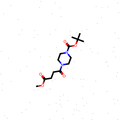 COC(=O)CCC(=O)N1CCN(C(=O)OC(C)(C)C)CC1